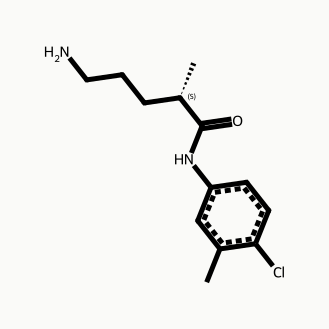 Cc1cc(NC(=O)[C@@H](C)CCCN)ccc1Cl